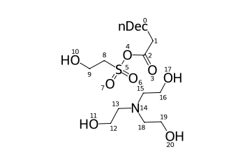 CCCCCCCCCCCC(=O)OS(=O)(=O)CCO.OCCN(CCO)CCO